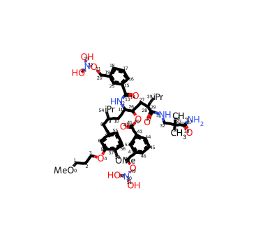 COCCCOc1cc(CC(CC(NC(=O)c2cccc(CON(O)O)c2)C(CC(C(=O)NCC(C)(C)C(N)=O)C(C)C)OC(=O)c2cccc(CON(O)O)c2)C(C)C)ccc1OC